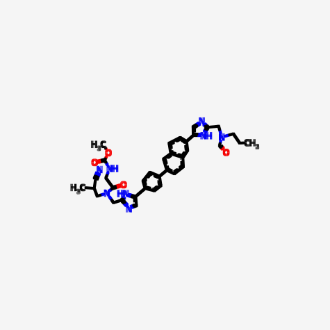 CCCN(C=O)Cc1ncc(-c2ccc3cc(-c4ccc(-c5cnc(CN(CC(C)C#N)C(=O)CNC(=O)OC)[nH]5)cc4)ccc3c2)[nH]1